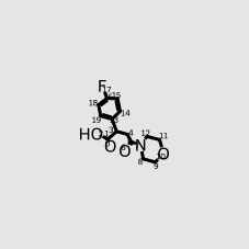 O=C(O)C(CC(=O)N1CCOCC1)c1ccc(F)cc1